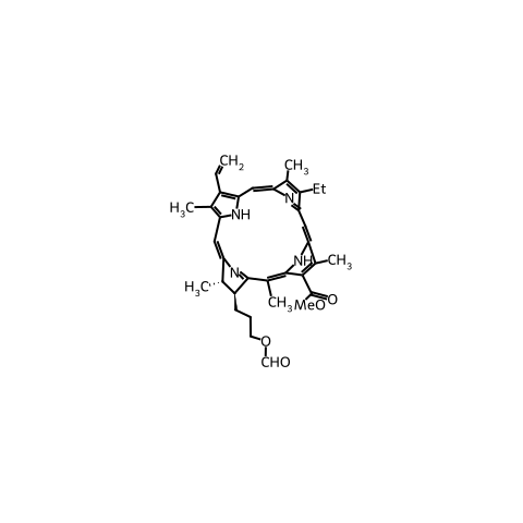 C=Cc1c(C)c2cc3nc(c(C)c4[nH]c(cc5nc(cc1[nH]2)C(C)=C5CC)c(C)c4C(=O)OC)[C@@H](CCCOC=O)[C@@H]3C